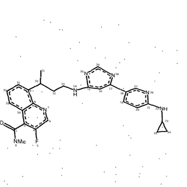 CNC(=O)c1c(F)cnc2c(C(C)CCNc3cc(-c4ccc(NC5CC5)nc4)ncn3)cccc12